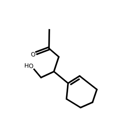 CC(=O)CC(CO)C1=CCCCC1